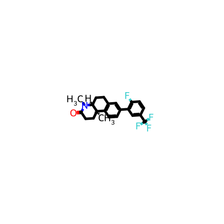 CN1C(=O)CC[C@]2(C)c3ccc(-c4cc(C(F)(F)F)ccc4F)cc3CC[C@@H]12